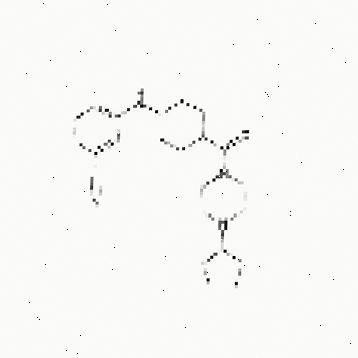 N#Cc1cccc(NC2CCC(C(=O)N3CCN(C4CCCC4)CC3)CC2)c1